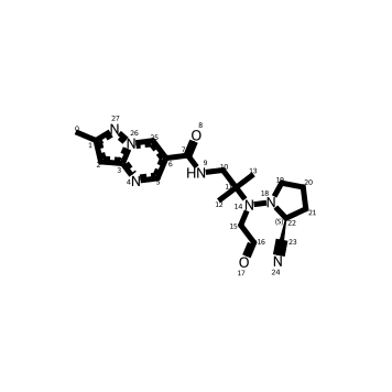 Cc1cc2ncc(C(=O)NCC(C)(C)N(CC=O)N3CCC[C@H]3C#N)cn2n1